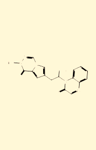 CC(C)n1ncn2cc(CC(C)n3c(=O)cnc4ccccc43)cc2c1=O